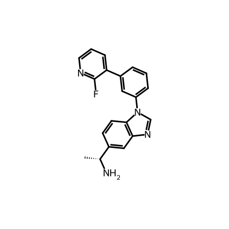 C[C@@H](N)c1ccc2c(c1)ncn2-c1cccc(-c2cccnc2F)c1